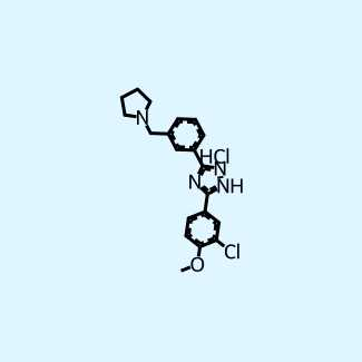 COc1ccc(-c2nc(-c3cccc(CN4CCCC4)c3)n[nH]2)cc1Cl.Cl